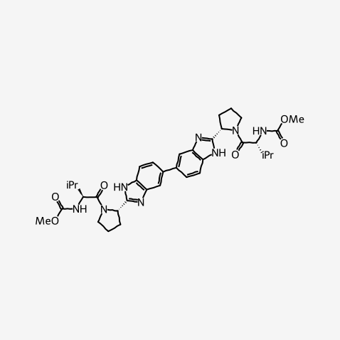 COC(=O)N[C@H](C(=O)N1CCC[C@H]1c1nc2cc(-c3ccc4[nH]c([C@@H]5CCCN5C(=O)[C@H](NC(=O)OC)C(C)C)nc4c3)ccc2[nH]1)C(C)C